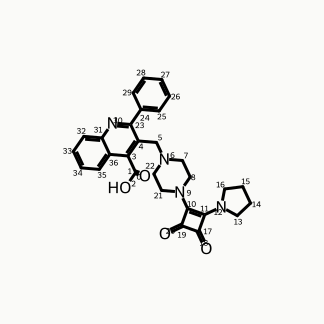 O=C(O)c1c(CN2CCN(c3c(N4CCCC4)c(=O)c3=O)CC2)c(-c2ccccc2)nc2ccccc12